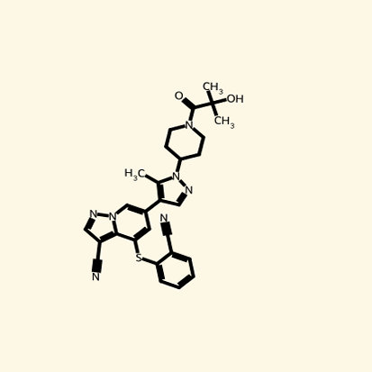 Cc1c(-c2cc(Sc3ccccc3C#N)c3c(C#N)cnn3c2)cnn1C1CCN(C(=O)C(C)(C)O)CC1